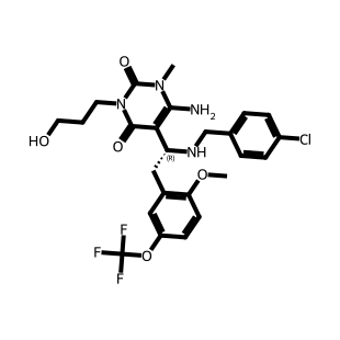 COc1ccc(OC(F)(F)F)cc1C[C@@H](NCc1ccc(Cl)cc1)c1c(N)n(C)c(=O)n(CCCO)c1=O